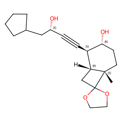 C[C@]12CC[C@@H](O)[C@H](C#C[C@@H](O)CC3CCCC3)[C@H]1CC21OCCO1